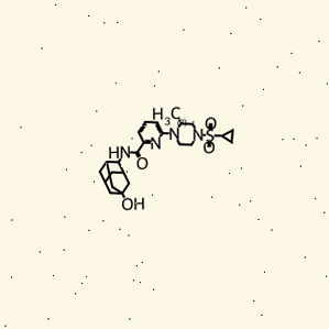 C[C@@H]1CN(S(=O)(=O)C2CC2)CCN1c1cccc(C(=O)NC2C3CC4CC2CC(O)(C4)C3)n1